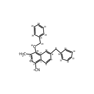 [CH2]c1nc(C#N)c2ccc(Cc3ccccc3)cc2c1OCc1ccccc1